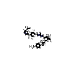 CC(=O)O[C@@H](C)/C=C\C(=O)N[C@@H]1C[C@H](C)[C@H](C/C=C(C)/C=C/[C@H]2O[C@H](CC(=O)N[C@H]3CC[C@H](N)CC3)C[C@]3(O[C@@H]3C)[C@@H]2O)O[C@@H]1C